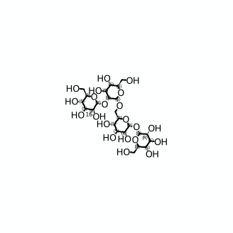 OC[C@H]1O[C@H](O[C@H]2O[C@H](CO[C@H]3O[C@H](CO)[C@@H](O)[C@H](O)[C@H]3O[C@H]3O[C@H](CO)[C@@H](O)[C@H](O)[C@H]3[16OH])[C@@H](O)[C@H](O)[C@H]2O)[C@H](O)[C@@H](O)[C@@H]1O